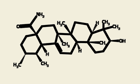 C[C@H]1[C@H](C)CC[C@]2(C(N)=O)CC[C@]3(C)C(=CC[C@@H]4[C@@]5(C)CC[C@H](O)C(C)(C)[C@@H]5CC[C@]43C)[C@H]12